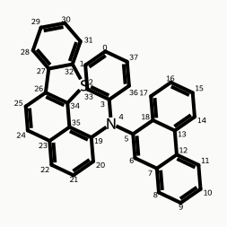 c1ccc(N(c2cc3ccccc3c3ccccc23)c2cccc3ccc4c5ccccc5sc4c23)cc1